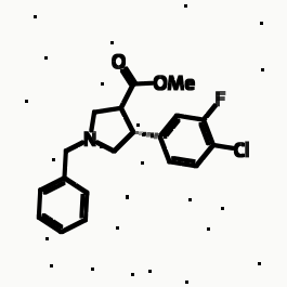 COC(=O)C1CN(Cc2ccccc2)C[C@H]1c1ccc(Cl)c(F)c1